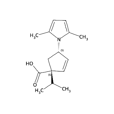 Cc1ccc(C)n1[C@@H]1C=C[C@@](C(=O)O)(C(C)C)C1